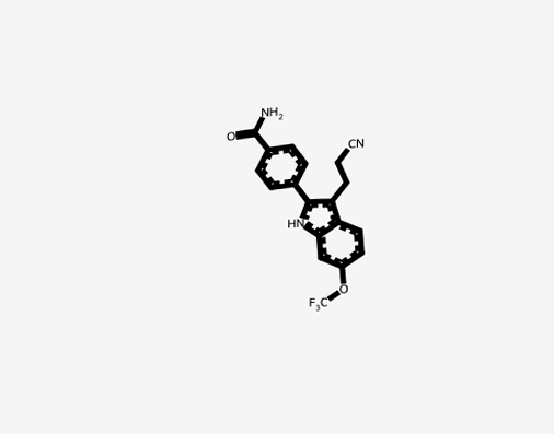 N#CCCc1c(-c2ccc(C(N)=O)cc2)[nH]c2cc(OC(F)(F)F)ccc12